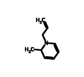 C=CCN1C=CC=CC1C